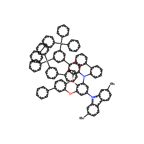 CC(C)(C)c1ccc2c3ccc(C(C)(C)C)cc3n(-c3cc4c5c(c3)N(c3ccccc3-c3ccccc3)c3ccc(-c6cc([Si](c7ccccc7)(c7ccccc7)c7cccc(-c8ccccc8)c7)cc([Si](c7ccccc7)(c7ccccc7)c7cccc(-c8ccccc8)c7)c6)cc3B5c3ccc(-c5ccccc5)cc3O4)c2c1